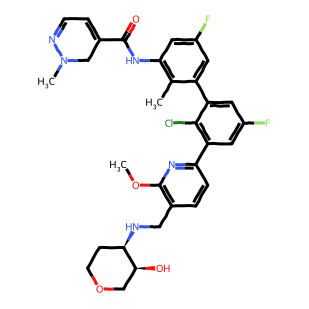 COc1nc(-c2cc(F)cc(-c3cc(F)cc(NC(=O)C4=CC=NN(C)C4)c3C)c2Cl)ccc1CN[C@@H]1CCOC[C@@H]1O